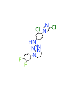 Fc1ccc(N2CCCn3nc(Nc4ccc(-n5cnc(Cl)c5)c(Cl)c4)nc32)cc1F